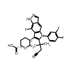 CC(C)(CC#N)c1c([C@@H]2CC[C@@H](C(=O)O)OC2)c2c(F)c3[nH]ncc3cc2n1-c1ccc(F)c(F)c1